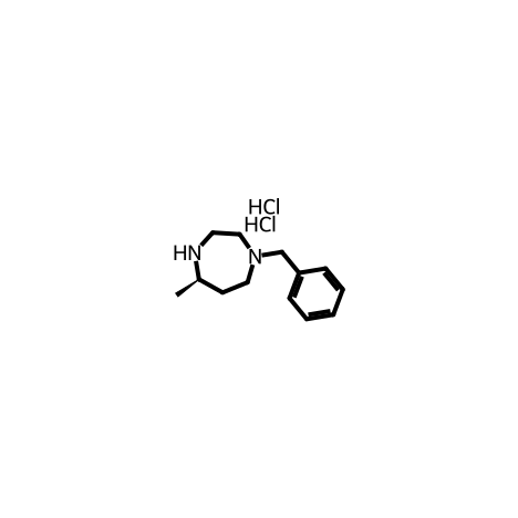 C[C@@H]1CCN(Cc2ccccc2)CCN1.Cl.Cl